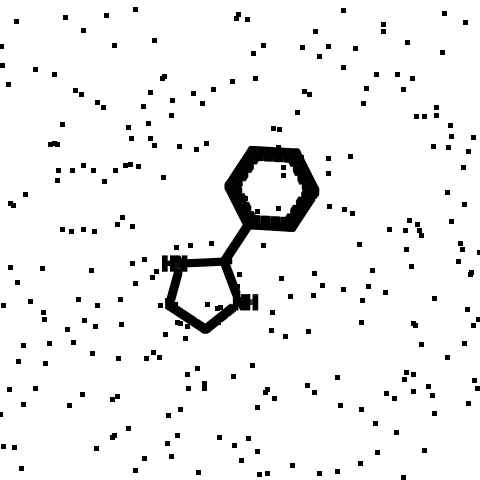 c1ccc([C]2NCCN2)cc1